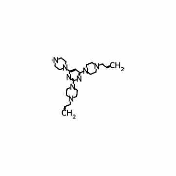 C=CCN1CCN(c2cc(N3CC[N]CC3)nc(N3CCN(CC=C)CC3)n2)CC1